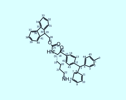 Cc1ccc([C](c2ccccc2)c2ccc(C(=O)[C@H](CCCCN)NC(=O)OCC3c4ccccc4-c4ccccc43)cc2)cc1